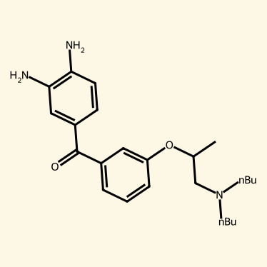 CCCCN(CCCC)CC(C)Oc1cccc(C(=O)c2ccc(N)c(N)c2)c1